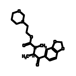 C[C@H](C(=O)c1ccc2c(c1)OCO2)N(C)C(=O)OCCN1CCCOC1